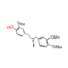 COc1cc(CC[C@H](C)Cc2ccc(OC)c(OC)c2)ccc1O